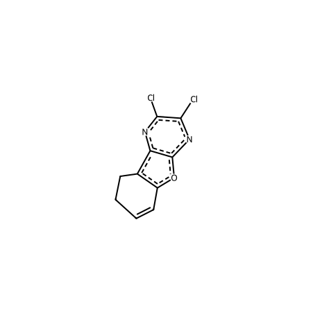 Clc1nc2oc3c(c2nc1Cl)CCC=C3